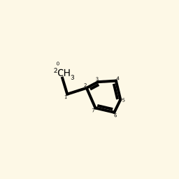 [2CH3]Cc1ccccc1